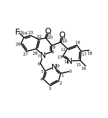 Cc1cccc(Cn2cc(C(=O)c3cnc(C)c(C)c3)c(=O)c3cc(F)ccc32)n1